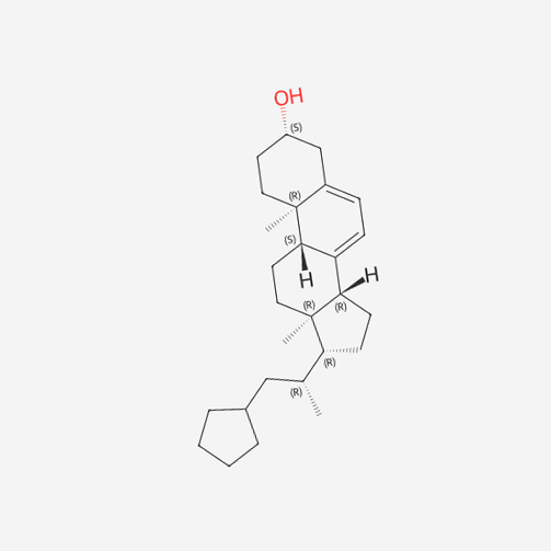 C[C@H](CC1CCCC1)[C@H]1CC[C@H]2C3=CC=C4C[C@@H](O)CC[C@]4(C)[C@H]3CC[C@]12C